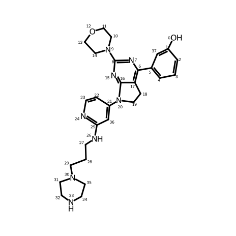 Oc1cccc(-c2nc(N3CCOCC3)nc3c2CCN3c2ccnc(NCCCN3CCNCC3)c2)c1